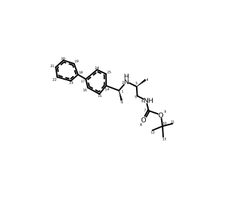 C[C@H](N[C@@H](C)CNC(=O)OC(C)(C)C)c1ccc(-c2ccccc2)cc1